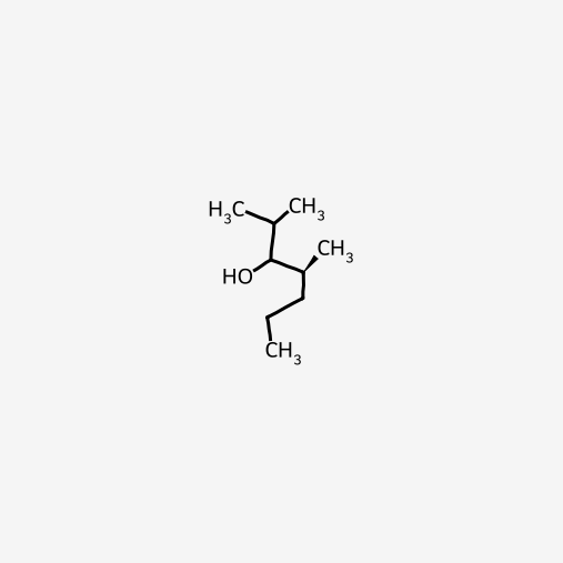 CCC[C@H](C)C(O)C(C)C